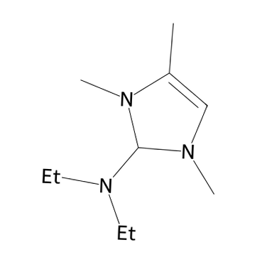 CCN(CC)C1N(C)C=C(C)N1C